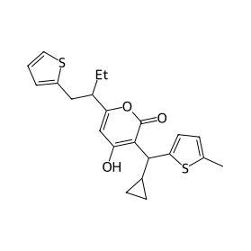 CCC(Cc1cccs1)c1cc(O)c(C(c2ccc(C)s2)C2CC2)c(=O)o1